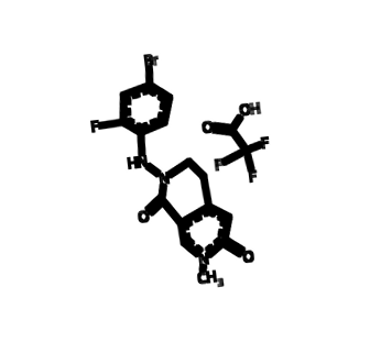 Cn1cc2c(cc1=O)CCN(Nc1ccc(Br)cc1F)C2=O.O=C(O)C(F)(F)F